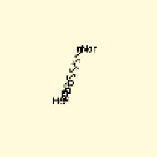 CCCCCCCCCCCCCCCCCOOOOOO